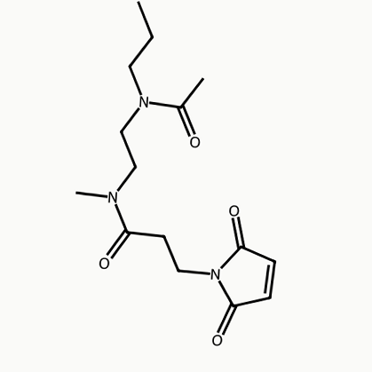 CCCN(CCN(C)C(=O)CCN1C(=O)C=CC1=O)C(C)=O